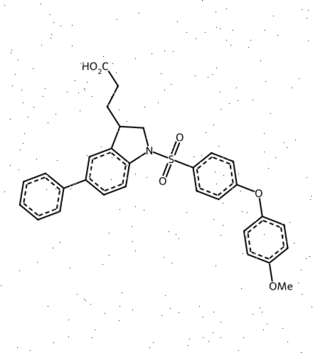 COc1ccc(Oc2ccc(S(=O)(=O)N3CC(CCC(=O)O)c4cc(-c5ccccc5)ccc43)cc2)cc1